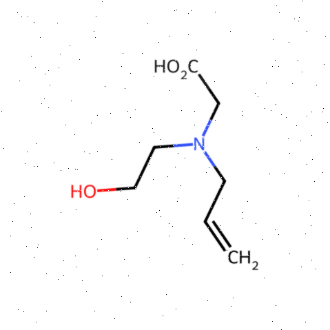 C=CCN(CCO)CC(=O)O